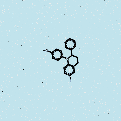 Oc1ccc(N2c3ccc(F)cc3CCC2c2ccccc2)cc1